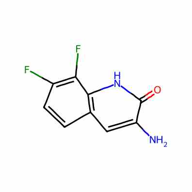 Nc1cc2ccc(F)c(F)c2[nH]c1=O